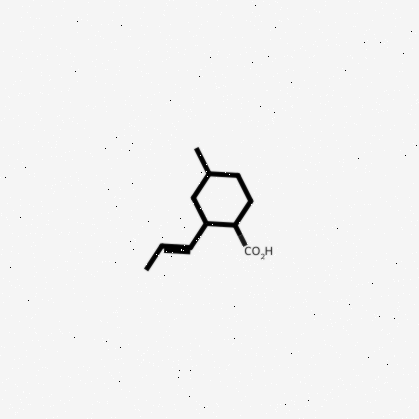 CC=CC1CC(C)CCC1C(=O)O